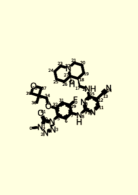 Cn1nnn(-c2cc(Nc3ncc(C#N)c(NC[C@@H]4CCCN5CCCC[C@H]45)n3)c(F)cc2OCC2(C)COC2)c1=O